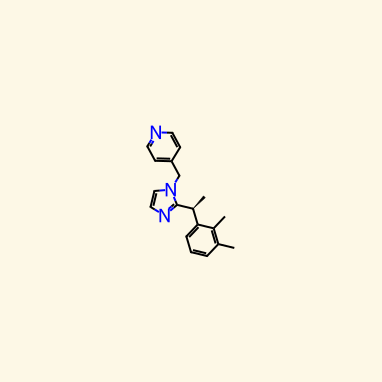 Cc1cccc([C@H](C)c2nccn2Cc2ccncc2)c1C